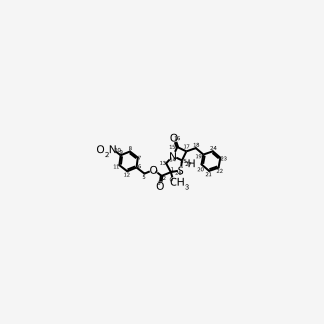 CC1(C(=O)OCc2ccc([N+](=O)[O-])cc2)CN2C(=O)C(Cc3ccccc3)[C@H]2S1